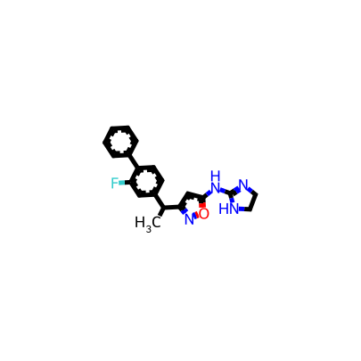 CC(c1ccc(-c2ccccc2)c(F)c1)c1cc(NC2=NCCN2)on1